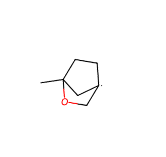 CC12CC[C](CO1)C2